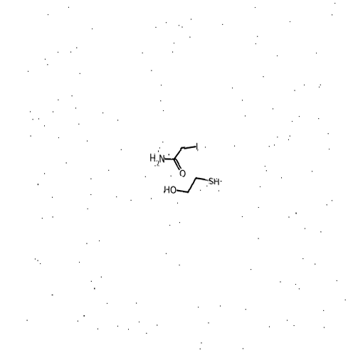 NC(=O)CI.OCCS